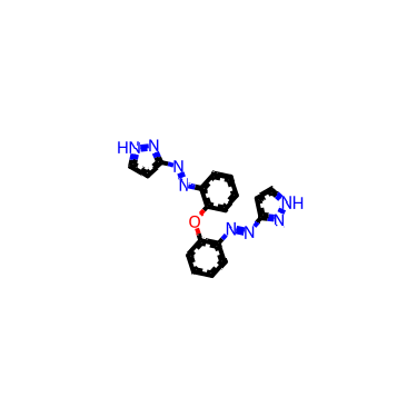 c1ccc(Oc2ccccc2N=Nc2cc[nH]n2)c(N=Nc2cc[nH]n2)c1